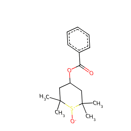 CC1(C)CC(OC(=O)c2ccccc2)CC(C)(C)[S+]1[O-]